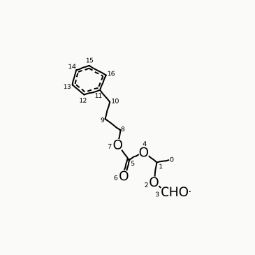 CC(O[C]=O)OC(=O)OCCCc1ccccc1